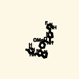 CO[C@]1(C(=O)N[C@@H](C)c2ccc(-c3cc(F)n[nH]3)nc2)CC[C@H](c2nc(Nc3cc(C)[nH]n3)cc3cccnc32)CC1